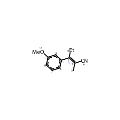 CC/C(=C(/C)C#N)c1cccc(OC)c1